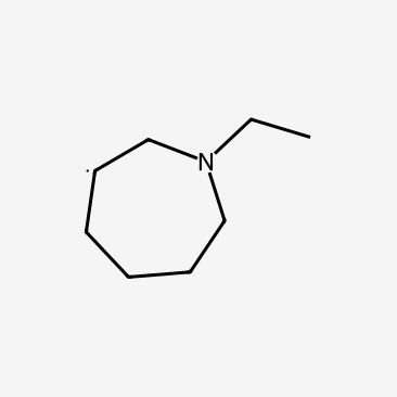 CCN1C[CH]CCCC1